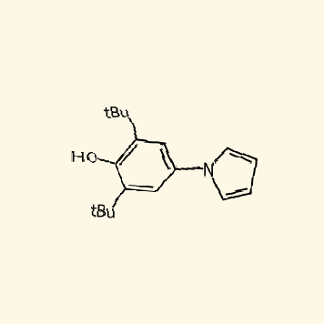 CC(C)(C)c1cc(-n2cccc2)cc(C(C)(C)C)c1O